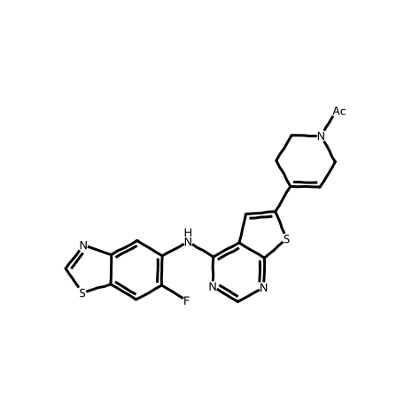 CC(=O)N1CC=C(c2cc3c(Nc4cc5ncsc5cc4F)ncnc3s2)CC1